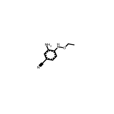 CCONc1ccc(C#N)cc1N